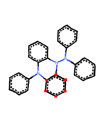 c1ccc(N(c2ccccc2)c2ccccc2N(c2ccccc2)N(c2ccccc2)c2ccccc2)cc1